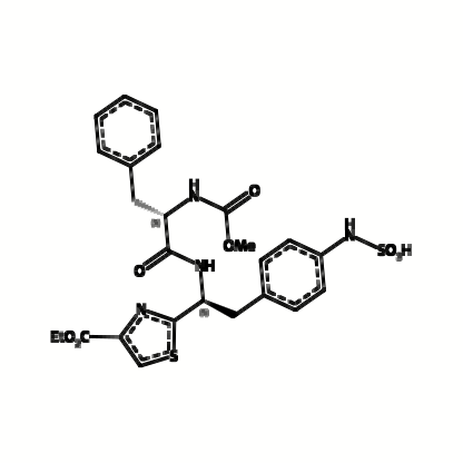 CCOC(=O)c1csc([C@H](Cc2ccc(NS(=O)(=O)O)cc2)NC(=O)[C@H](Cc2ccccc2)NC(=O)OC)n1